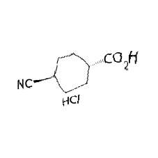 Cl.N#C[C@H]1CC[C@H](C(=O)O)CC1